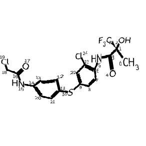 C[C@@](O)(C(=O)Nc1ccc(Sc2ccc(NC(=O)CCl)cc2)cc1Cl)C(F)(F)F